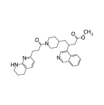 COC(=O)CC(CC1CCN(C(=O)CCc2ccc3c(n2)NCCC3)CC1)c1cncc2ccccc12